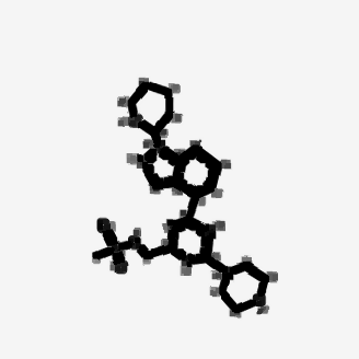 CS(=O)(=O)OCc1nc(-c2cccc3c2cnn3C2CCCCO2)nc(N2CCOCC2)n1